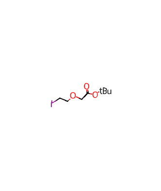 CC(C)(C)OC(=O)COCCI